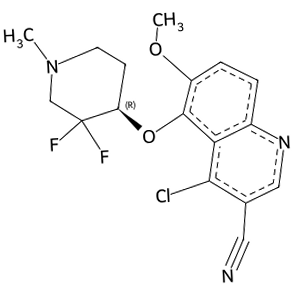 COc1ccc2ncc(C#N)c(Cl)c2c1O[C@@H]1CCN(C)CC1(F)F